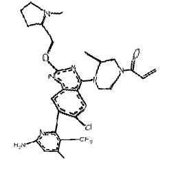 C=CC(=O)N1CCN(c2nc(OCC3CCCN3C)nc3cc(-c4nc(N)cc(C)c4C(F)(F)F)c(Cl)cc23)C(C)C1